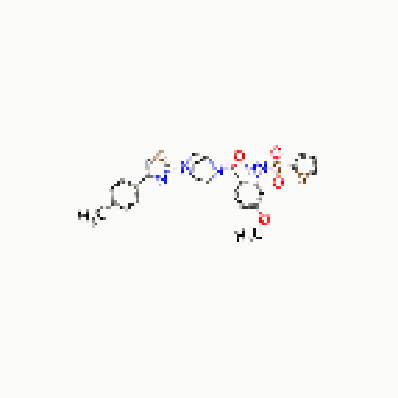 COc1ccc(C(=O)N2CC3CC2CN3c2nc(-c3ccc(C)cc3)cs2)c(NS(=O)(=O)c2cccs2)c1